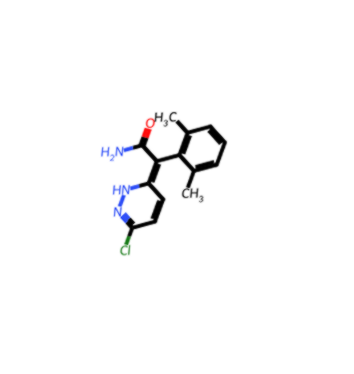 Cc1cccc(C)c1/C(C(N)=O)=C1\C=CC(Cl)=NN1